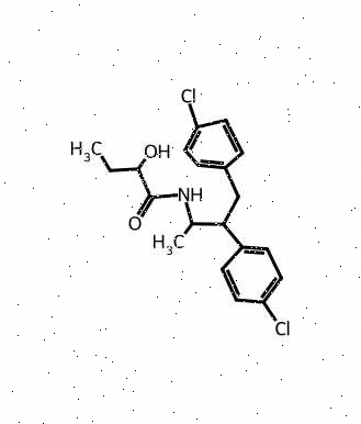 CCC(O)C(=O)NC(C)C(Cc1ccc(Cl)cc1)c1ccc(Cl)cc1